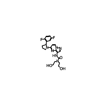 O=C(Nc1cnn2ccc(N3CCCC3c3cc(F)ccc3F)nc12)N(CCO)CCO